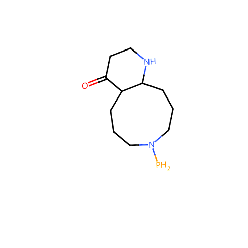 O=C1CCNC2CCCN(P)CCCC12